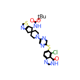 CC(C)(C)OC(=O)N[C@H]1c2scnc2CC12CCN(c1cnc(Sc3ccc4nc[nH]c(=O)c4c3Cl)cn1)CC2